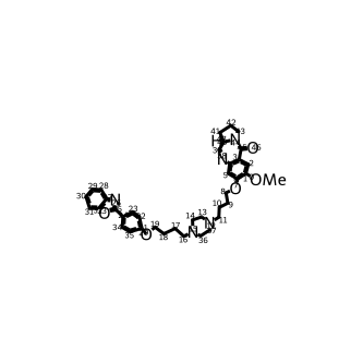 COc1cc2c(cc1OCCCCN1CCN(CCCCOc3ccc(-c4nc5ccccc5o4)cc3)CC1)N=C[C@@H]1CCCN1C2=O